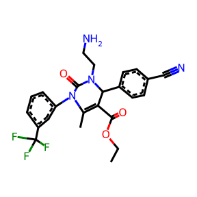 CCOC(=O)C1=C(C)N(c2cccc(C(F)(F)F)c2)C(=O)N(CCN)C1c1ccc(C#N)cc1